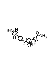 CC(C)N1C[C@@H]2C[C@H]1CN2c1ccc(Nc2ncc(-c3cc(C(N)=O)n[nH]3)n3ncnc23)cc1